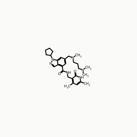 Cc1cc(C)c(CNC(=O)c2cc(CN(C)CCCN(C)C)cc3c2cnn3C2CCCC2)c(=O)[nH]1